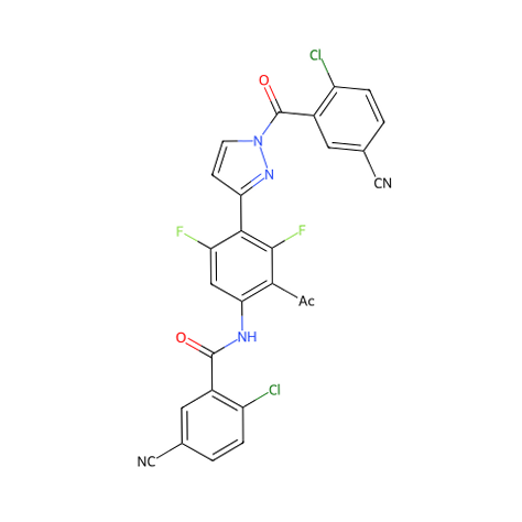 CC(=O)c1c(NC(=O)c2cc(C#N)ccc2Cl)cc(F)c(-c2ccn(C(=O)c3cc(C#N)ccc3Cl)n2)c1F